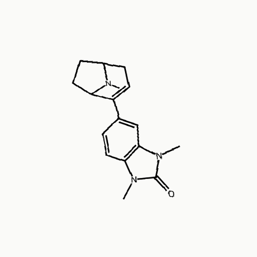 CN1C2CC=C(c3ccc4c(c3)n(C)c(=O)n4C)C1CC2